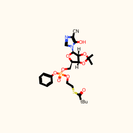 CC1(C)O[C@@H]2[C@H](O1)[C@@H](COP(=O)(OCCSC(=O)C(C)(C)C)Oc1ccccc1)O[C@H]2n1cnc(C#N)c1O